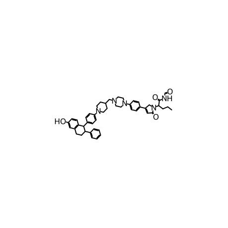 CCCC(C(=O)NC=O)N1CC(c2ccc(N3CCN(CC4CCN(c5ccc(C6c7ccc(O)cc7CCC6c6ccccc6)cc5)CC4)CC3)cc2)=CC1=O